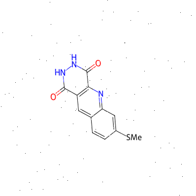 CSc1ccc2cc3c(=O)[nH][nH]c(=O)c3nc2c1